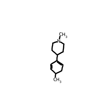 CC1C=CC(C2CCN(C)CC2)=CC1